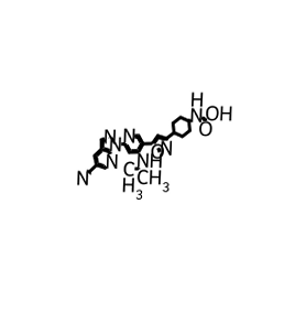 CC(C)Nc1cc(-n2ncc3cc(C#N)cnc32)ncc1-c1cc(C2CCC(NC(=O)O)CC2)no1